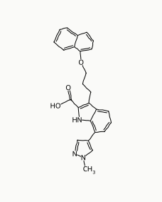 Cn1cc(-c2cccc3c(CCCOc4cccc5ccccc45)c(C(=O)O)[nH]c23)cn1